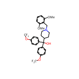 COc1cccc(OC)c1CN1CCC(C(O)(c2ccc(OC(F)(F)F)cc2)c2ccc(OC(F)(F)F)cc2)CC1